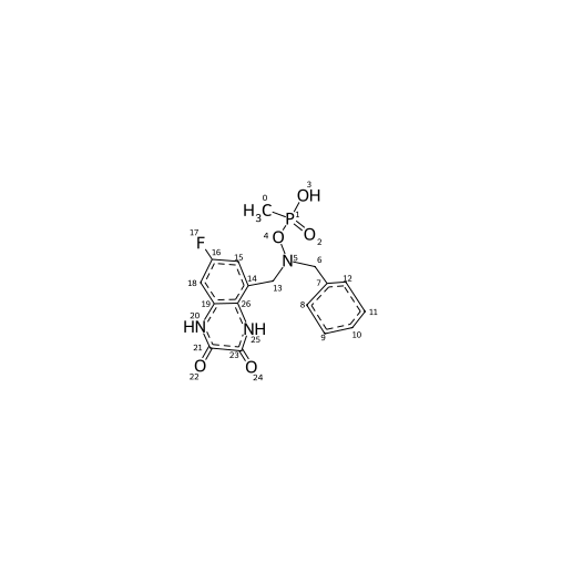 CP(=O)(O)ON(Cc1ccccc1)Cc1cc(F)cc2[nH]c(=O)c(=O)[nH]c12